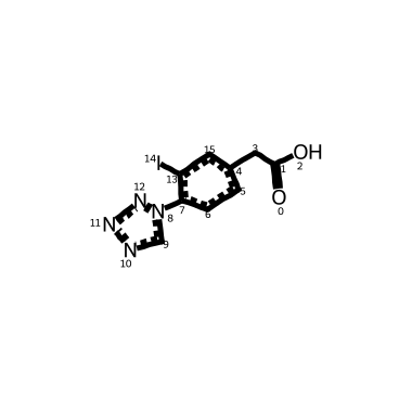 O=C(O)Cc1ccc(-n2cnnn2)c(I)c1